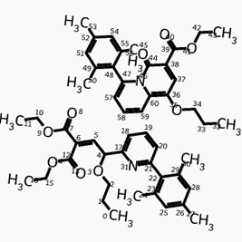 CCCOC(C=C(C(=O)OCC)C(=O)OCC)c1cccc(-c2c(C)cc(C)cc2C)n1.CCCOc1cc(C(=O)OCC)c(=O)n2c(-c3c(C)cc(C)cc3C)cccc12